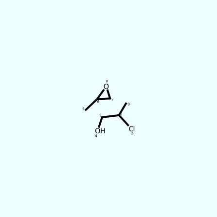 CC(Cl)CO.CC1CO1